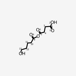 O=C(O)CCC(=O)OC(=O)CCCCO